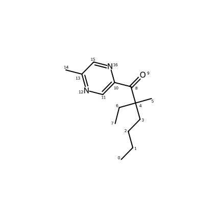 CCCCC(C)(CC)C(=O)c1cnc(C)cn1